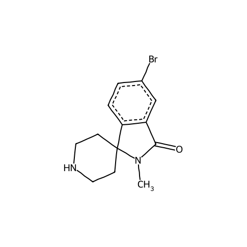 CN1C(=O)c2cc(Br)ccc2C12CCNCC2